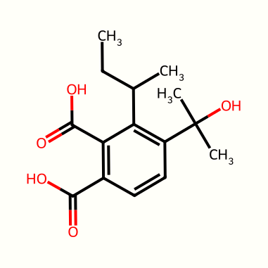 CCC(C)c1c(C(C)(C)O)ccc(C(=O)O)c1C(=O)O